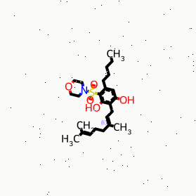 CCCCCc1cc(O)c(C/C=C(\C)CCC=C(C)C)c(O)c1S(=O)(=O)N1CCOCC1